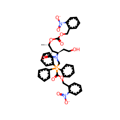 C[C@H](OC(=O)OCc1ccccc1[N+](=O)[O-])[C@H]1C(=O)N(CP(C(=O)OCc2ccccc2[N+](=O)[O-])(c2ccccc2)(c2ccccc2)c2ccccc2)[C@@H]1CCO